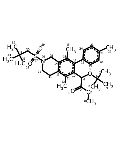 COC(=O)C(OC(C)(C)C)c1c(C)c2c(c(C)c1-c1ccc(C)cc1)CN(S(=O)(=O)CC(C)(C)C)CC2